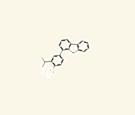 CC(C)c1cc(-c2cccc3c2Cc2ccccc2-3)ccc1N